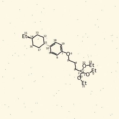 CCO[Si](CCCOc1ccc([C@H]2CC[C@H](CC)CC2)cc1)(OCC)OCC